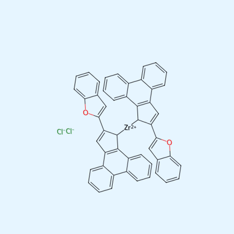 C1=C(c2cc3ccccc3o2)[CH]([Zr+2][CH]2C(c3cc4ccccc4o3)=Cc3c2c2ccccc2c2ccccc32)c2c1c1ccccc1c1ccccc21.[Cl-].[Cl-]